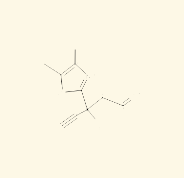 C#CC(O)(CC=O)c1nc(C)c(C)s1